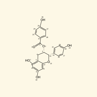 O=C(O[C@H]1Cc2c(O)cc(O)cc2O[C@H]1c1ccc(O)cc1)c1ccc(O)cc1